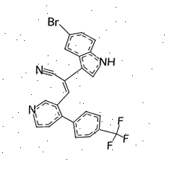 N#CC(=Cc1cnccc1-c1ccc(C(F)(F)F)cc1)c1c[nH]c2ccc(Br)cc12